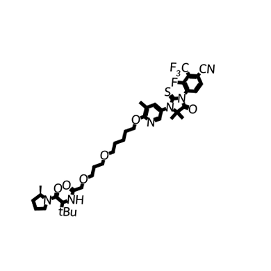 Cc1cc(N2C(=S)N(c3ccc(C#N)c(C(F)(F)F)c3F)C(=O)C2(C)C)cnc1OCCCCCOCCCOCC(=O)NC(C(=O)N1CCC[C@H]1C)C(C)(C)C